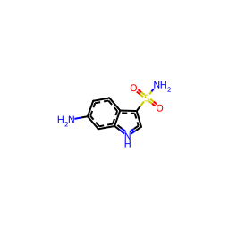 Nc1ccc2c(S(N)(=O)=O)c[nH]c2c1